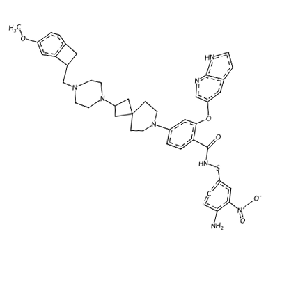 COc1ccc2c(c1)C(CN1CCN(C3CC4(CCN(c5ccc(C(=O)NSc6ccc(N)c([N+](=O)[O-])c6)c(Oc6cnc7[nH]ccc7c6)c5)CC4)C3)CC1)C2